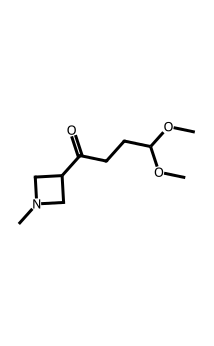 COC(CCC(=O)C1CN(C)C1)OC